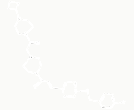 O=C(/C=C/c1ccc(OCc2ccc(F)cc2)cc1)N1CCN(CC(=O)N2CCN(C3CCC3)CC2)CC1